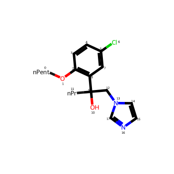 CCCCCOc1ccc(Cl)cc1C(O)(CCC)Cn1ccnc1